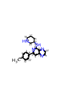 Cc1ccc(-c2cc3nccnc3c(NC3CCCNC3)n2)cc1